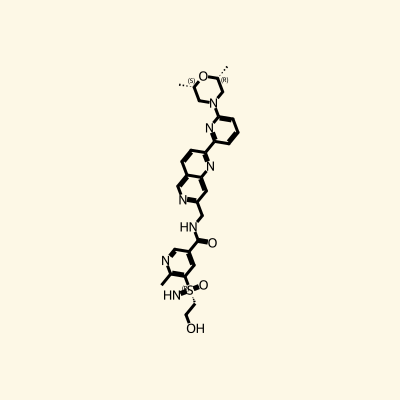 Cc1ncc(C(=O)NCc2cc3nc(-c4cccc(N5C[C@@H](C)O[C@@H](C)C5)n4)ccc3cn2)cc1[S@](=N)(=O)CCO